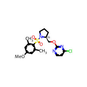 COc1cc(C)c(S(=O)(=O)N2CCC[C@H]2COc2nccc(Cl)n2)c(C)c1